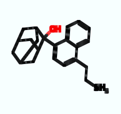 OC1(c2ccc(CC[SiH3])c3ccccc23)C2CC3CC(C2)CC1C3